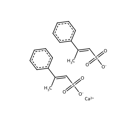 CC(=CS(=O)(=O)[O-])c1ccccc1.CC(=CS(=O)(=O)[O-])c1ccccc1.[Ca+2]